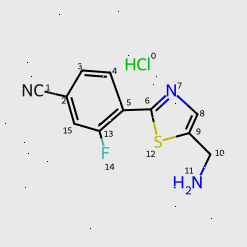 Cl.N#Cc1ccc(-c2ncc(CN)s2)c(F)c1